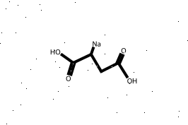 O=C(O)C[CH]([Na])C(=O)O